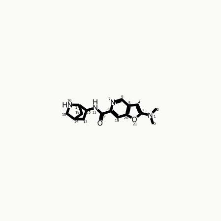 CN(C)c1cc2cnc(C(=O)NC3CC4CNC3C4)cc2o1